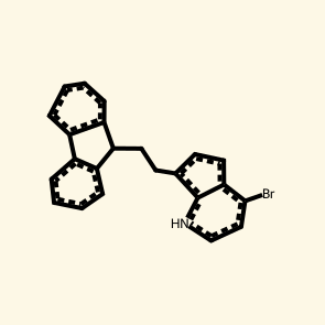 Brc1cc[nH]c2c(CCC3c4ccccc4-c4ccccc43)ccc1-2